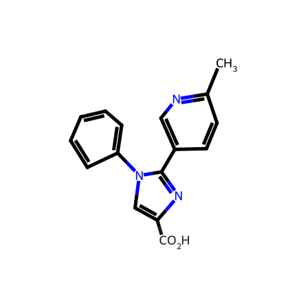 Cc1ccc(-c2nc(C(=O)O)cn2-c2ccccc2)cn1